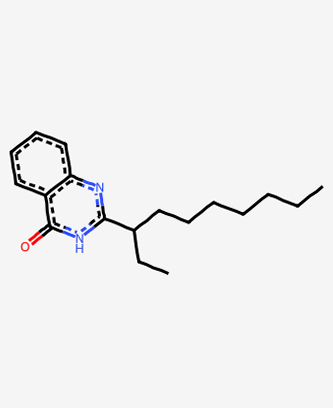 CCCCCCCC(CC)c1nc2ccccc2c(=O)[nH]1